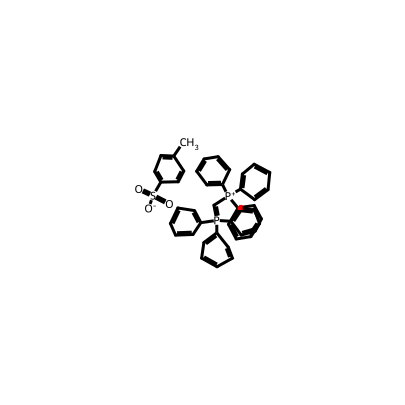 C(=P(c1ccccc1)(c1ccccc1)c1ccccc1)[P+](c1ccccc1)(c1ccccc1)c1ccccc1.Cc1ccc(S(=O)(=O)[O-])cc1